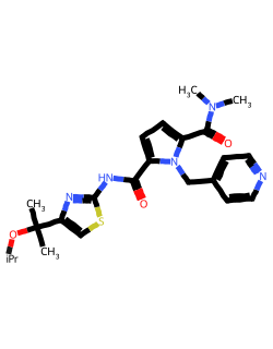 CC(C)OC(C)(C)c1csc(NC(=O)c2ccc(C(=O)N(C)C)n2Cc2ccncc2)n1